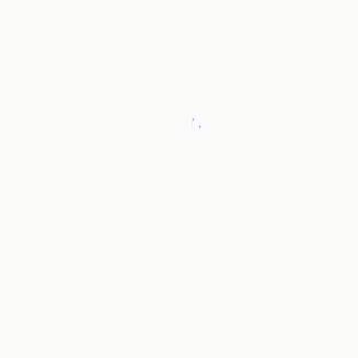 C=Cc1ccncc1.CCCCCCCC